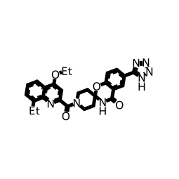 CCOc1cc(C(=O)N2CCC3(CC2)NC(=O)c2cc(-c4nnn[nH]4)ccc2O3)nc2c(CC)cccc12